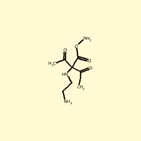 CC(=O)C(NCCN)(C(C)=O)C(=O)ON